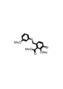 COC(=O)c1c(CSc2cccc(OC)c2)ccc(Br)c1OC